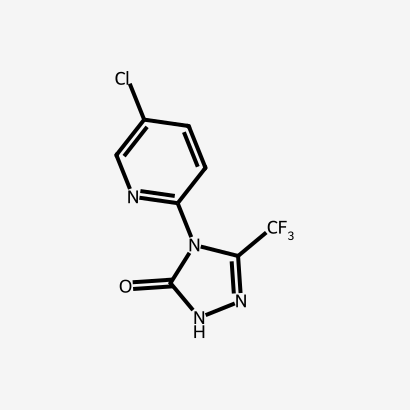 O=c1[nH]nc(C(F)(F)F)n1-c1ccc(Cl)cn1